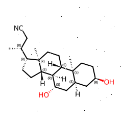 C[C@H](CC#N)[C@H]1CC[C@H]2[C@@H]3[C@@H](O)C[C@@H]4C[C@H](O)CC[C@]4(C)[C@H]3CC[C@]12C